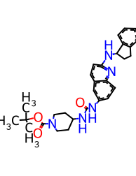 CC(C)(C)OC(=O)N1CCC(NC(=O)Nc2ccc3nc(N[C@@H]4CCc5ccccc54)ccc3c2)CC1